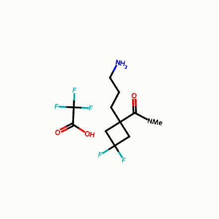 CNC(=O)C1(CCCN)CC(F)(F)C1.O=C(O)C(F)(F)F